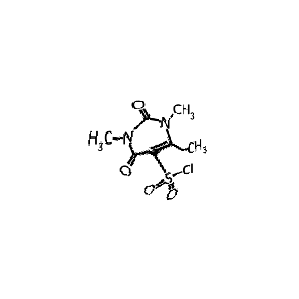 Cc1c(S(=O)(=O)Cl)c(=O)n(C)c(=O)n1C